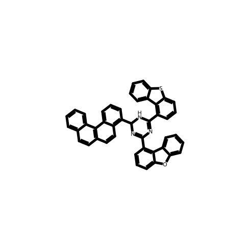 c1ccc2c(c1)ccc1ccc3c(C4N=C(c5cccc6oc7ccccc7c56)N=C(c5cccc6sc7ccccc7c56)N4)cccc3c12